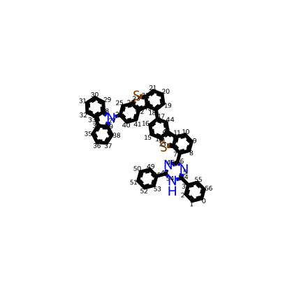 c1ccc(C2=NC(c3cccc4c3sc3ccc(-c5cccc6sc7cc(-n8c9ccccc9c9ccccc98)ccc7c56)cc34)=NC(c3ccccc3)N2)cc1